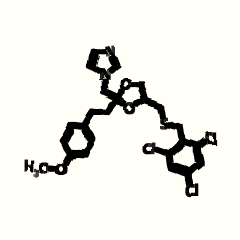 COc1ccc(CCC2(Cn3ccnc3)OCC(CSCc3c(Cl)cc(Cl)cc3Cl)O2)cc1